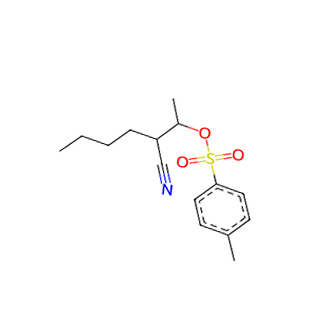 CCCCC(C#N)C(C)OS(=O)(=O)c1ccc(C)cc1